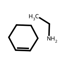 C1=CCCCC1.CCN